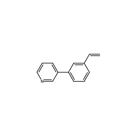 C=Cc1c[c]cc(-c2cccnc2)c1